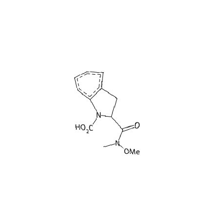 CON(C)C(=O)C1Cc2ccccc2N1C(=O)O